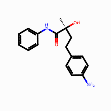 C[C@](O)(CCc1ccc(N)cc1)C(=O)Nc1ccccc1